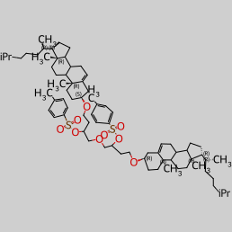 Cc1ccc(S(=O)(=O)OC(CCO[C@@H]2CC[C@@]3(C)C(=CCC4C3CC[C@@]3(C)C4CC[C@@H]3[C@H](C)CCCC(C)C)C2)COCC(CCO[C@H]2CC[C@@]3(C)C(=CCC4C3CC[C@@]3(C)C4CC[C@@H]3[C@H](C)CCCC(C)C)C2)OS(=O)(=O)c2ccc(C)cc2)cc1